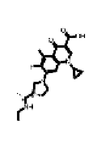 CCN[C@H](C)[C@H]1CCN(c2cc3c(c(C)c2F)c(=O)c(C(=O)O)cn3C2CC2)C1